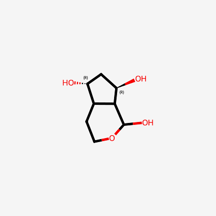 OC1OCCC2C1[C@H](O)C[C@H]2O